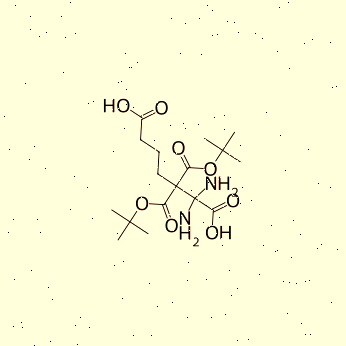 CC(C)(C)OC(=O)C(CCCC(=O)O)(C(=O)OC(C)(C)C)C(N)(N)C(=O)O